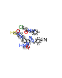 CCCNC(=O)N(Cc1cncn1Cc1ccc(C#N)cc1)c1ccc(N2CCN(C(=O)S)CC2)cc1.O=C(CCCl)NCc1ccccc1